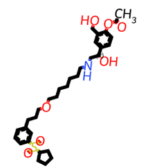 CC(=O)Oc1ccc([C@@H](O)CNCCCCCCCOCCCc2cccc(S(=O)(=O)C3CCCC3)c2)cc1CO